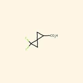 O=C(O)C1CC12CC2(F)F